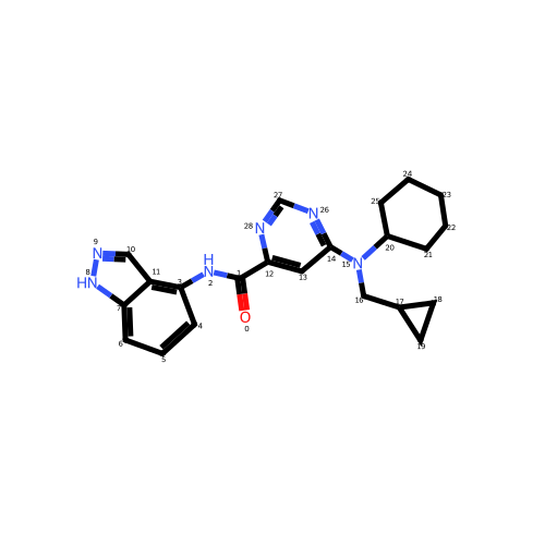 O=C(Nc1cccc2[nH]ncc12)c1cc(N(CC2CC2)C2CCCCC2)ncn1